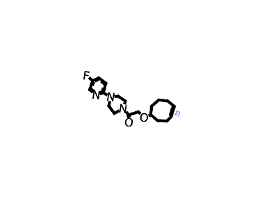 O=C(COC1CC/C=C\CCC1)N1CCN(c2ccc(F)cn2)CC1